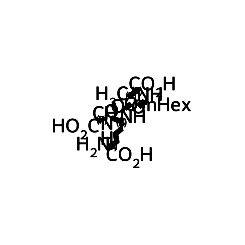 CCCCCCC(=O)N[C@@H](C(=O)O)[C@@H](C)OC(=O)N[C@@H](CCC[C@H](N)C(=O)O)C(=O)N[C@H](C)C(=O)O